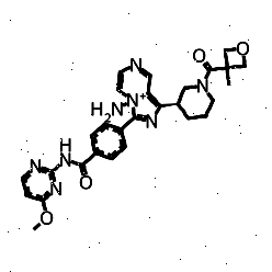 COc1ccnc(NC(=O)c2ccc(C3=NC([C@@H]4CCCN(C(=O)C5(C)COC5)C4)=C4C=NC=C[N+]34N)cc2)n1